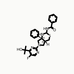 CC(C)(O)c1nc(N2C[C@H]3CSC(NC(=O)c4ccccc4)N[C@@]3(c3ccccc3)C2)ncc1F